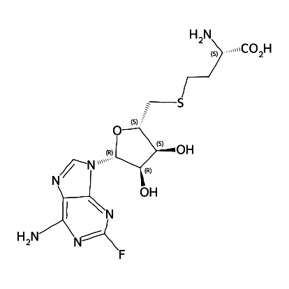 Nc1nc(F)nc2c1ncn2[C@@H]1O[C@H](CSCC[C@H](N)C(=O)O)[C@@H](O)[C@H]1O